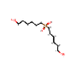 O=S(=O)(CCCCCCO)CCCCCCO